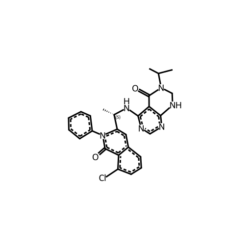 CC(C)N1CNc2ncnc(N[C@@H](C)c3cc4cccc(Cl)c4c(=O)n3-c3ccccc3)c2C1=O